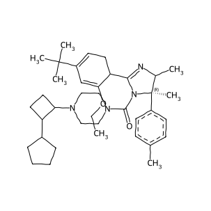 CCOC1=CC(C(C)(C)C)=CCC1C1=NC(C)[C@@](C)(c2ccc(C)cc2)N1C(=O)N1CCN(C2CCC2C2CCCC2)CC1